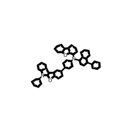 c1ccc(-c2ccc(N(c3ccc(-c4ccc5oc6c(c5c4)c4ccccc4n6-c4ccccc4)cc3)c3cccc4c3oc3ccccc34)c3ccccc23)cc1